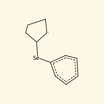 [CH]1CCCC1[Se]c1ccccc1